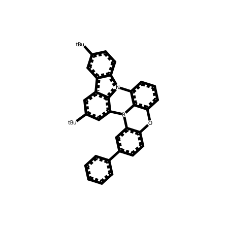 CC(C)(C)c1ccc2c(c1)c1cc(C(C)(C)C)cc3c1n2-c1cccc2c1B3c1cc(-c3ccccc3)ccc1O2